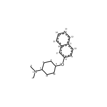 CN(C)C1CCC(Oc2ccc3cnccc3c2)CC1